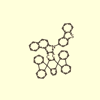 c1ccc2c(c1)-c1ccccc1C21c2ccccc2C2(c3ccccc3-c3ccccc32)c2cc3c(cc21)c1c2ccccc2ccc1n3-c1ccc2sc3ccccc3c2c1